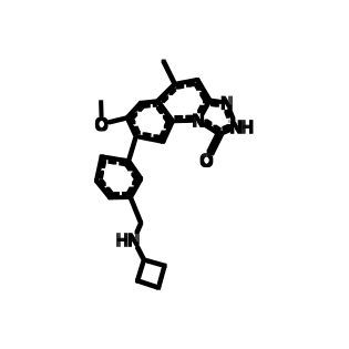 COc1cc2c(C)cc3n[nH]c(=O)n3c2cc1-c1cccc(CNC2CCC2)c1